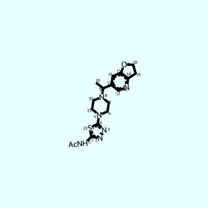 CC(=O)Nc1nnc(N2CCN(C(C)c3cnc4c(c3)OCC4)CC2)s1